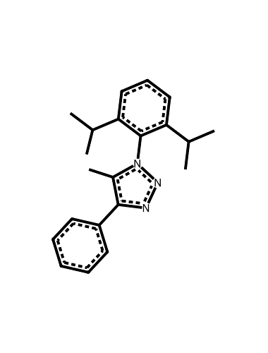 Cc1c(-c2ccccc2)nnn1-c1c(C(C)C)cccc1C(C)C